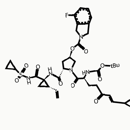 C=C[C@@H]1C[C@]1(NC(=O)[C@@H]1C[C@@H](OC(=O)N2Cc3cccc(F)c3C2)CN1C(=O)[C@H](CCC(=O)/C=C/C1CC1)NC(=O)OC(C)(C)C)C(=O)NS(=O)(=O)C1CC1